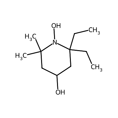 CCC1(CC)CC(O)CC(C)(C)N1O